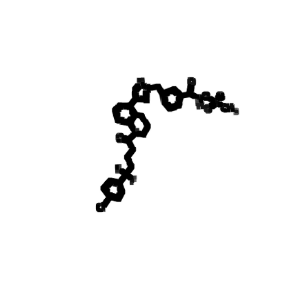 CS(=O)(=O)ONC(=O)c1cccc(Cn2cc(-c3cccc4c3CCCN4C(=O)CCCC(F)(F)c3ccc(Cl)cc3)cn2)c1